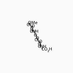 COC(=O)/C=C/C(=O)OCC(=O)NCCOCCOC(=O)/C=C/C(=O)OCC(=O)NCC(=O)O